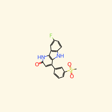 CS(=O)(=O)c1cccc(-c2cc(=O)[nH]c3c2[nH]c2ccc(F)cc23)c1